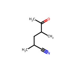 CC(=O)C(C)CC(C)C#N